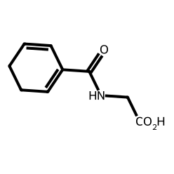 O=C(O)CNC(=O)C1=CCCC=C1